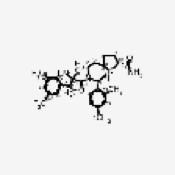 Cc1ccc([C@H]2C[C@]3(CC[C@H](C(N)=O)N3)CCN2C(=O)C(C)(N)[C@H](C)c2cc(C(F)(F)F)cc(C(F)(F)F)c2)c(C)c1